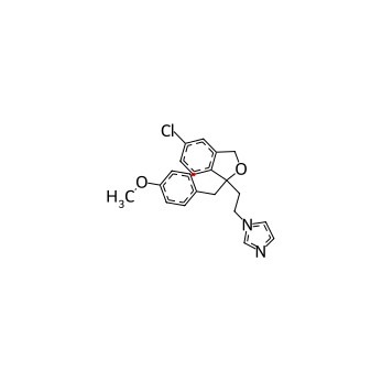 COc1ccc(CC2(CCn3ccnc3)OCc3cc(Cl)ccc32)cc1